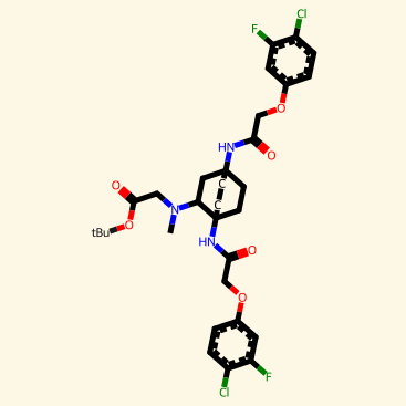 CN(CC(=O)OC(C)(C)C)C1CC2(NC(=O)COc3ccc(Cl)c(F)c3)CCC1(NC(=O)COc1ccc(Cl)c(F)c1)CC2